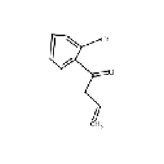 C=CCC(=O)c1ccccc1C(C)C